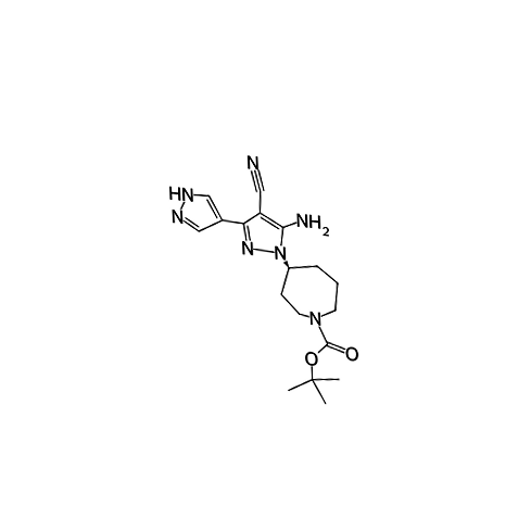 CC(C)(C)OC(=O)N1CCC[C@H](n2nc(-c3cn[nH]c3)c(C#N)c2N)CC1